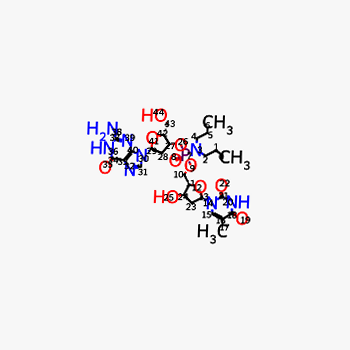 CCCN(CCC)P(=O)(OC[C@H]1O[C@@H](n2cc(C)c(=O)[nH]c2=O)C[C@H]1O)O[C@@H]1C[C@H](n2cnc3c(=O)[nH]c(N)nc32)O[C@@H]1CO